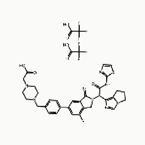 O=C(O)C(F)(F)F.O=C(O)C(F)(F)F.O=C(O)CN1CCN(Cc2ccc(-c3cc(F)c4c(c3)C(=O)N(C(C(=O)Nc3nccs3)c3ncn5c3CCC5)C4)cc2)CC1